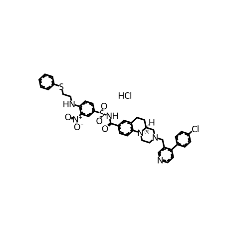 Cl.O=C(NS(=O)(=O)c1ccc(NCCSc2ccccc2)c([N+](=O)[O-])c1)c1ccc2c(c1)CC[C@H]1CN(Cc3cnccc3-c3ccc(Cl)cc3)CCN21